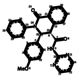 COc1ccc([C@@H]2[C@@H](C(=O)Nc3ncccn3)c3ccccc3C(=O)N2c2ccccc2)cc1